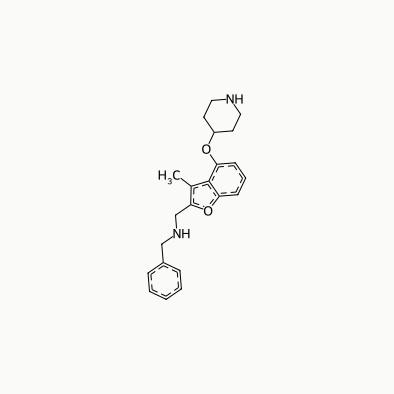 Cc1c(CNCc2ccccc2)oc2cccc(OC3CCNCC3)c12